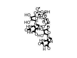 COP(=O)(O[C@H]1O[C@@H](n2cnc3c(=O)[nH]c(=O)[nH]c32)[C@H](O)[C@H]1O)OP(=O)(O)OP(=O)(O)OP(=O)(OC)O[C@H]1O[C@@H](n2cnc3c(=O)[nH]c(=O)[nH]c32)[C@H](O)[C@H]1O